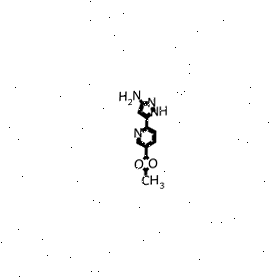 CC1OC(c2ccc(-c3cc(N)n[nH]3)nc2)O1